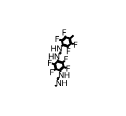 CNCNc1c(F)c(F)c(NCNc2c(F)c(F)c(C)c(F)c2F)c(F)c1F